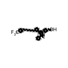 Cc1nn2c(N3CCN(CCO)CC3)cc(-c3cccc(CCCCCCCCN4CCC(C(F)(F)F)CC4)c3)nc2c1-c1ccccc1